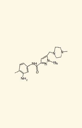 Cc1ccc(NC(=O)c2cc(CN3CCN(C)CC3)n(C(C)(C)C)n2)cc1N